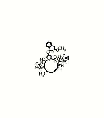 COc1cc2ccccc2c(O[C@@H]2C[C@H]3C(=O)N[C@]4(C(=O)NS(=O)(=O)C5(C)CC5)C[C@H]4/C=C\CC[C@H](C)C[C@@H](C)[C@H](NC(=O)O)C(=O)N3C2)n1